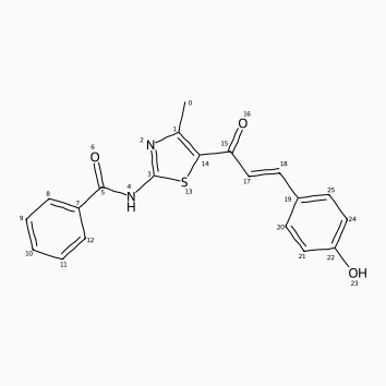 Cc1nc(NC(=O)c2ccccc2)sc1C(=O)C=Cc1ccc(O)cc1